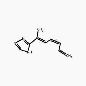 C=C/C=C\C=C(/C)c1nnc[nH]1